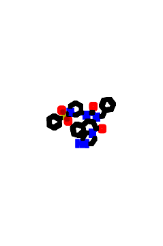 O=C(c1c(-c2ccccc2)n(C2CCCN(S(=O)(=O)c3ccccc3)C2)c(=O)n1Cc1ccccc1)N1CCNCC1